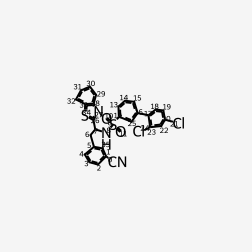 N#Cc1cccc(CC(NS(=O)(=O)c2cccc(-c3ccc(Cl)cc3Cl)c2)c2nc3ccccc3s2)c1